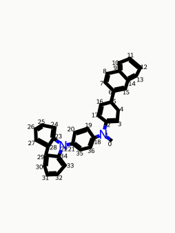 CN(C1=CCC(c2ccc3ccccc3c2)C=C1)c1ccc(-n2c3ccccc3c3ccccc32)cc1